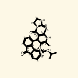 CC1=C(OC(=O)OC(C)C)C(c2cccc3c2-c2ccccc2C3=O)C(C(=O)N2CCSC2=S)=C(C)N1